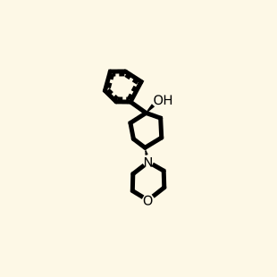 O[C@]1(c2ccccc2)CC[C@@H](N2CCOCC2)CC1